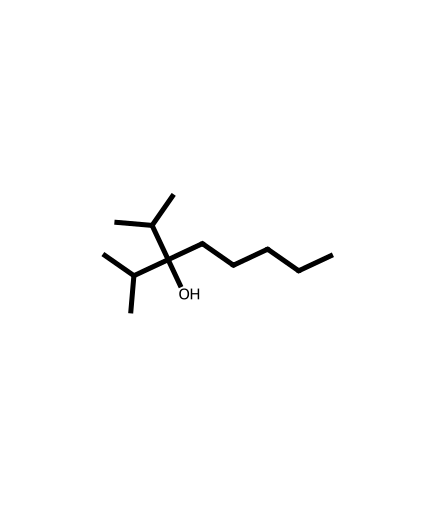 CCCCCC(O)(C(C)C)C(C)C